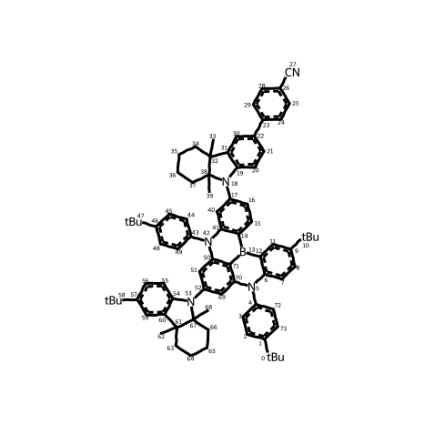 CC(C)(C)c1ccc(N2c3ccc(C(C)(C)C)cc3B3c4ccc(N5c6ccc(-c7ccc(C#N)cc7)cc6C6(C)CCCCC56C)cc4N(c4ccc(C(C)(C)C)cc4)c4cc(N5c6ccc(C(C)(C)C)cc6C6(C)CCCCC56C)cc2c43)cc1